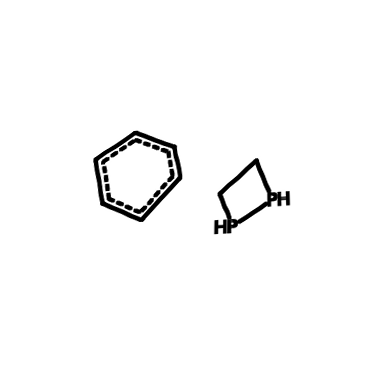 C1CPP1.c1ccccc1